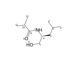 CC(C)C[C@@H](CO)NC(=O)C(C)C